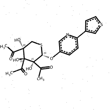 CC(=O)[C@]1(O)[C@@](O)(C(C)=O)CS[C@H](Oc2ccc(-c3ccsc3)nc2)[C@@]1(O)C(C)=O